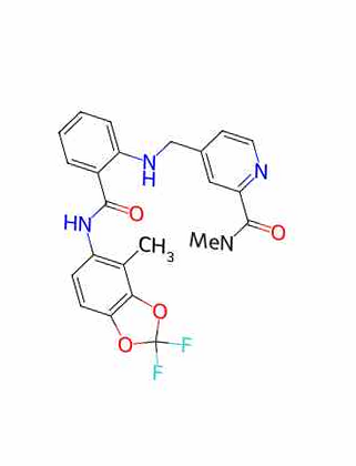 CNC(=O)c1cc(CNc2ccccc2C(=O)Nc2ccc3c(c2C)OC(F)(F)O3)ccn1